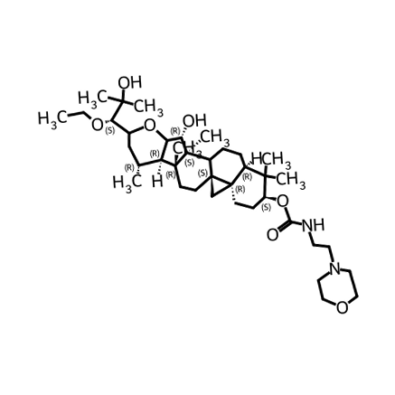 CCO[C@@H](C1C[C@@H](C)[C@H]2C(O1)[C@H](O)[C@@]1(C)C3CC[C@H]4C(C)(C)[C@@H](OC(=O)NCCN5CCOCC5)CC[C@@]45C[C@@]35CC[C@]21C)C(C)(C)O